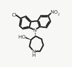 O=[N+]([O-])c1ccc2c(c1)c1cc(Cl)ccc1n2[C@@H]1CCCNC[C@H]1O